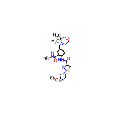 CCCNC(=O)c1cc(CN2CCOCC2(C)C)ccc1NC(=O)c1csc(N2CC[C@H](OCC)C2)n1